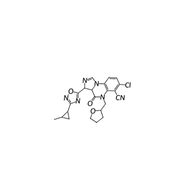 CC1CC1c1noc(C2N=CN3c4ccc(Cl)c(C#N)c4N(CC4CCCO4)C(=O)C23)n1